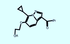 CC(C)C(=O)c1cnn2c(C3CC3)c(OCCO)ccc12